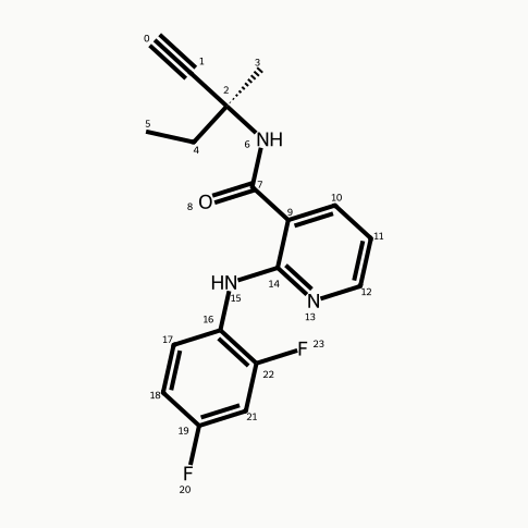 C#C[C@](C)(CC)NC(=O)c1cccnc1Nc1ccc(F)cc1F